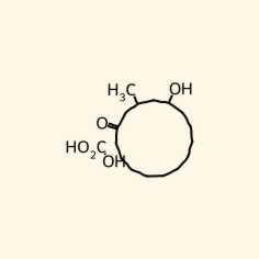 CC1CC(=O)CCCCCCCCCCC(O)C1.O=C(O)O